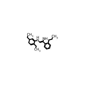 CCCc1ccccc1/C(N)=C/NC1=CC(CC)CC=C1CC